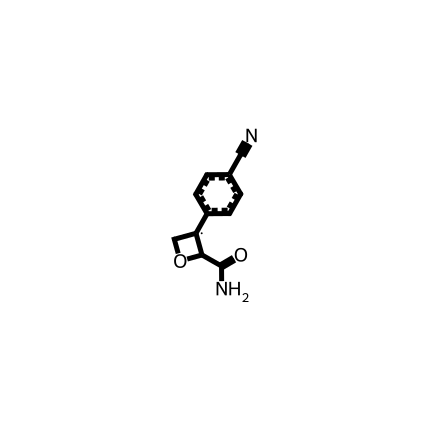 N#Cc1ccc([C]2COC2C(N)=O)cc1